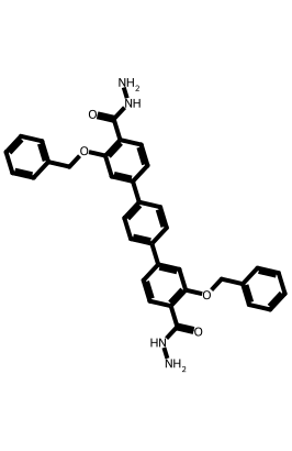 NNC(=O)c1ccc(-c2ccc(-c3ccc(C(=O)NN)c(OCc4ccccc4)c3)cc2)cc1OCc1ccccc1